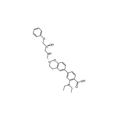 CCN(CC)c1cc(-c2ccc3c(c2)CC[C@H](CNC[C@H](O)COc2ccccc2)O3)ccc1C(=O)O